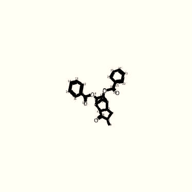 CC1CC2C3CC(C(OC(=O)c4ccccc4)C3OC(=O)c3ccccc3)C2C1=O